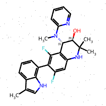 Cc1c[nH]c2c(-c3c(F)cc4c(c3F)[C@H](N(C)c3ccccn3)[C@@H](O)C(C)(C)N4)cccc12